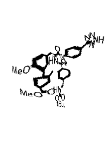 COC(=O)c1ccc(-c2cc(C[C@H](NC(=O)[C@H]3CC[C@H](CNC(=O)OC(C)(C)C)CC3)C(=O)Nc3ccc(-c4nn[nH]n4)cc3)ccc2OC)c(C)c1